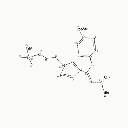 COc1ccc(C/C(=N\[S+]([O-])C(C)(C)C)c2cnn(CCO[Si](C)(C)C(C)(C)C)c2)cc1